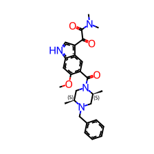 COc1cc2[nH]cc(C(=O)C(=O)N(C)C)c2cc1C(=O)N1C[C@H](C)N(Cc2ccccc2)C[C@@H]1C